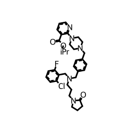 CC(C)OC(=O)c1cccnc1N1CCN(Cc2ccc(CN(CCCN3CCCC3=O)Cc3c(F)cccc3Cl)cc2)CC1